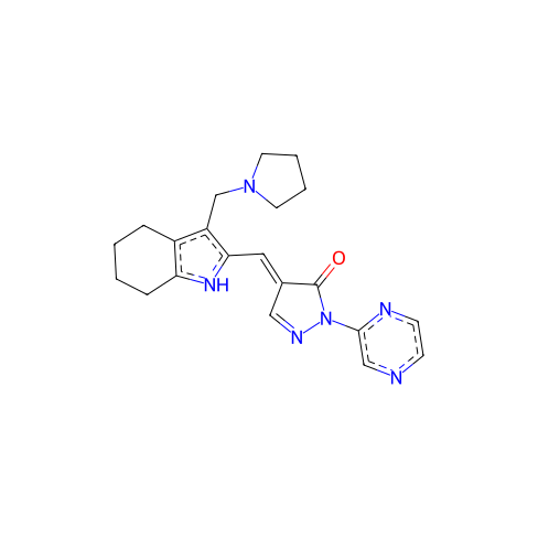 O=C1C(=Cc2[nH]c3c(c2CN2CCCC2)CCCC3)C=NN1c1cnccn1